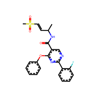 CC(C=CS(C)(=O)=O)NC(=O)c1cnc(-c2ccccc2F)nc1Oc1ccccc1